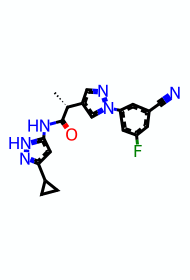 C[C@@H](C(=O)Nc1cc(C2CC2)n[nH]1)c1cnn(-c2cc(F)cc(C#N)c2)c1